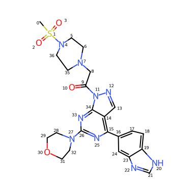 CS(=O)(=O)N1CCN(CC(=O)n2ncc3c(-c4ccc5[nH]cnc5c4)nc(N4CCOCC4)nc32)CC1